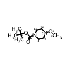 CON1CCN(C(=O)OC(C)(C)C)CC1